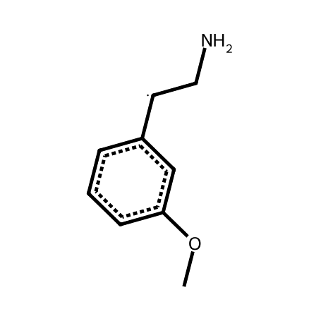 COc1cccc([CH]CN)c1